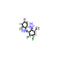 CCc1cc(F)c(F)c(Nc2ccc(I)cc2F)c1N